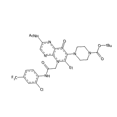 CCc1c(N2CCN(C(=O)OC(C)(C)C)CC2)c(=O)c2nc(NC(C)=O)cnc2n1CC(=O)Nc1ccc(C(F)(F)F)cc1Cl